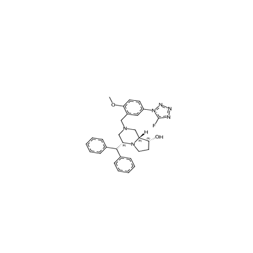 COc1ccc(-n2nnnc2F)cc1CN1C[C@@H]2[C@H](O)CCN2[C@H](C(c2ccccc2)c2ccccc2)C1